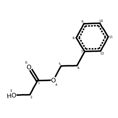 O=C(CO)OCCc1ccccc1